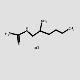 CCCCC(N)CNC(N)=O.Cl